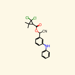 CC1(C)C(C(=O)OC(C#N)c2cccc(Nc3ccccc3)c2)C1(Cl)Cl